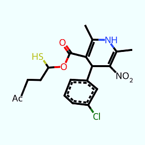 CC(=O)CCC(S)OC(=O)C1=C(C)NC(C)=C([N+](=O)[O-])C1c1cccc(Cl)c1